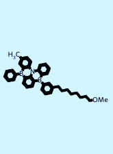 COCCCCCCCCc1cccc(B2c3ccccc3N3c4ccc(C)cc4B(c4ccccc4)c4cccc2c43)c1